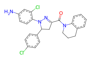 Nc1ccc(N2N=C(C(=O)N3CCCc4ccccc43)CC2c2ccc(Cl)cc2)c(Cl)c1